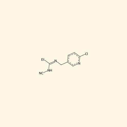 CCC(=NCc1ccc(Cl)nc1)NC#N